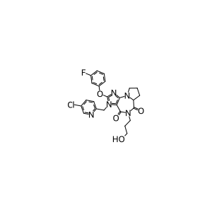 O=C1c2c(nc(Oc3cccc(F)c3)n2Cc2ccc(Cl)cn2)N2CCCC2C(=O)N1CCCO